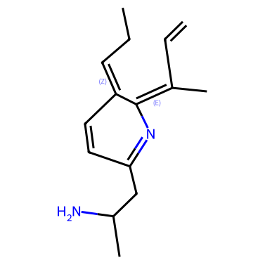 C=C/C(C)=c1/nc(CC(C)N)cc/c1=C/CC